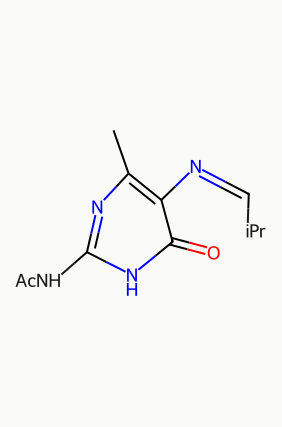 CC(=O)Nc1nc(C)c(/N=C\C(C)C)c(=O)[nH]1